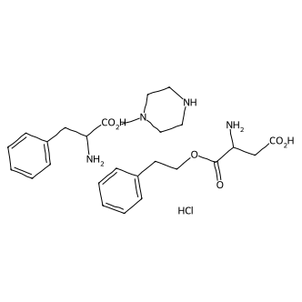 CN1CCNCC1.Cl.NC(CC(=O)O)C(=O)OCCc1ccccc1.NC(Cc1ccccc1)C(=O)O